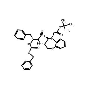 CC(C)(C)OC(=O)CN1C(=O)[C@@H](NC(C#N)[C@H](Cc2ccccc2)NC(=O)OCc2ccccc2)CSc2ccccc21